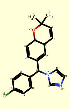 CC1(C)C=CC2C=C(C(c3ccc(Cl)cc3)n3ccnc3)C=CC2O1